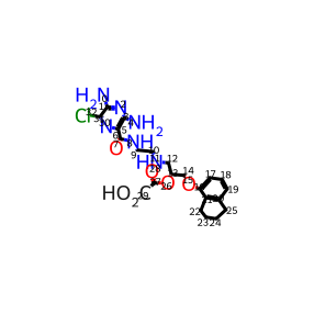 Nc1nc(N)c(C(=O)NCCNCC(COc2cccc3c2CCCC3)OC(=O)C(=O)O)nc1Cl